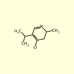 CC1CC(Cl)=C(C(C)C)C=N1